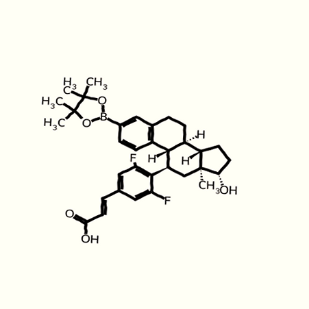 CC1(C)OB(c2ccc3c(c2)CC[C@@H]2[C@@H]3[C@H](c3c(F)cc(/C=C/C(=O)O)cc3F)C[C@]3(C)[C@@H](O)CC[C@@H]23)OC1(C)C